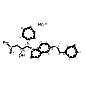 CCN(CC)C[C@@H](O)[C@H](c1ccccc1)n1ccc2cc(OCc3ccccc3)ccc21.Cl